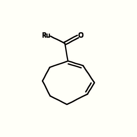 O=[C]([Ru])C1=CC=CCCCC1